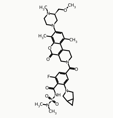 COC[C@H]1CN(c2cc(C)c3c4c(c(=O)oc3c2C)CN(C(=O)c2cc(F)c(C(=O)NS(=O)(=O)N(C)C)c(N3CC5CC5C3)c2)CC4)CCN1C